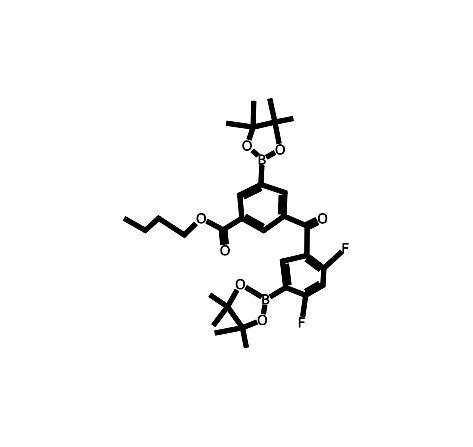 CCCCOC(=O)c1cc(B2OC(C)(C)C(C)(C)O2)cc(C(=O)c2cc(B3OC(C)(C)C(C)(C)O3)c(F)cc2F)c1